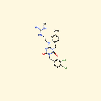 COc1ccc(Cn2c(NCCNC(=N)NC(C)C)nc(=O)n(Cc3ccc(Cl)c(Cl)c3)c2=O)cc1